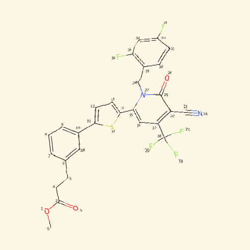 COC(=O)CCc1cccc(-c2ccc(-c3cc(C(F)(F)F)c(C#N)c(=O)n3Cc3ccc(F)cc3F)s2)c1